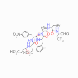 Cc1ccccc1C[C@H](NC(=O)[C@@H](Cc1ccc([N+](=O)[O-])cc1)NC(=O)[C@H](CC(=O)O)NC(=O)CCC(=O)O)C(=O)N[C@H](C(=O)N[C@@H](CC(C)C)C(=O)NC(C=O)CC(F)(F)F)C(C)(C)C